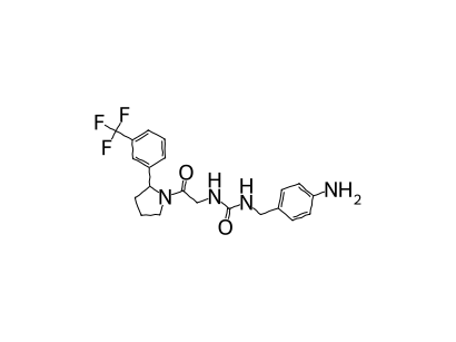 Nc1ccc(CNC(=O)NCC(=O)N2CCCC2c2cccc(C(F)(F)F)c2)cc1